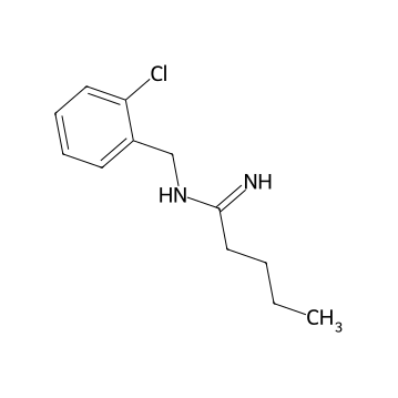 CCCCC(=N)NCc1ccccc1Cl